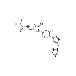 O=C(NCC1CN(c2ccc(-n3cnc(Cn4cncn4)c3)c(F)c2)C(=O)O1)C(F)F